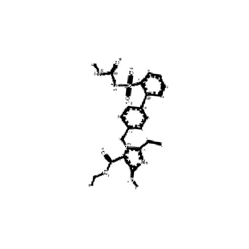 CCOC(=O)c1c(SC)nc(CC)n1Cc1ccc(-c2ccccc2S(=O)(=O)NC(=O)NC)cc1